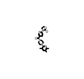 Cc1cc(C)c(N2CCN(C(=O)c3ccc(N4CCOC4=O)nc3)CC2)nc1C